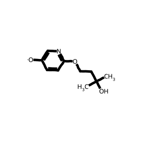 CC(C)(O)CCOc1ccc([O])cn1